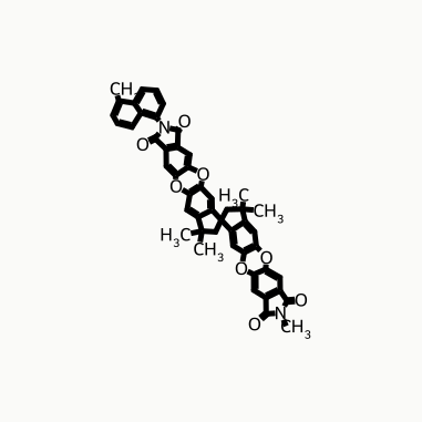 Cc1cccc2c(-n3c(=O)c4cc5oc6cc7c(cc6oc5cc4c3=O)C3(CC(C)(C)c4cc5oc6cc8c(=O)n(C)c(=O)c8cc6oc5cc43)CC7(C)C)cccc12